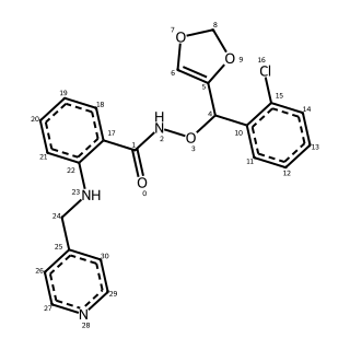 O=C(NOC(C1=COCO1)c1ccccc1Cl)c1ccccc1NCc1ccncc1